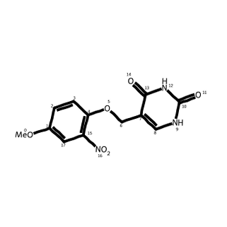 COc1ccc(OCc2c[nH]c(=O)[nH]c2=O)c([N+](=O)[O-])c1